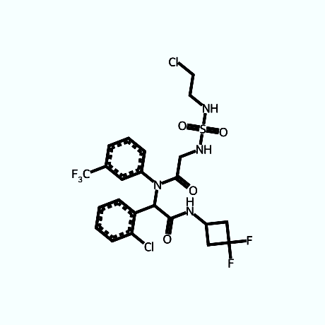 O=C(NC1CC(F)(F)C1)C(c1ccccc1Cl)N(C(=O)CNS(=O)(=O)NCCCl)c1cccc(C(F)(F)F)c1